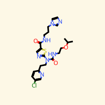 CC(C)OCCNC(=O)N(CCc1ccc(Cl)cn1)c1ncc(C(=O)NCCCn2ccnc2)s1